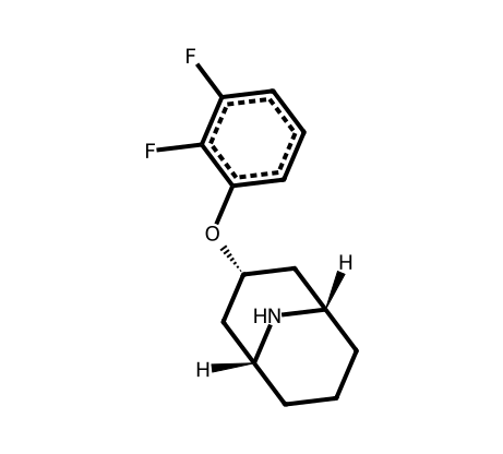 Fc1cccc(O[C@H]2C[C@H]3CCC[C@@H](C2)N3)c1F